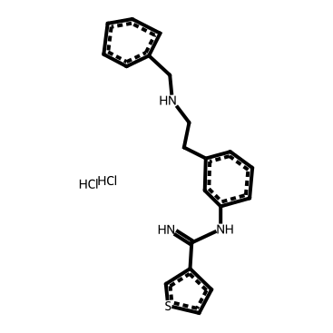 Cl.Cl.N=C(Nc1cccc(CCNCc2ccccc2)c1)c1ccsc1